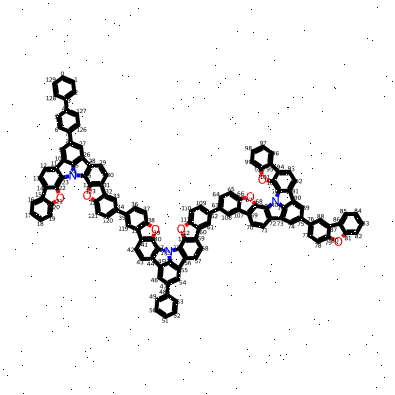 c1ccc(-c2ccc(-c3cc4c5ccc6c7ccccc7oc6c5n5c4c(c3)c3ccc4c6cc(-c7ccc8oc9c(ccc%10c%11cc(-c%12ccccc%12)cc%12c%13ccc%14c%15cc(-c%16ccc%17oc%18c(ccc%19c%20cc(-c%21ccc%22oc%23ccccc%23c%22c%21)cc%21c%22ccc%23c%24ccccc%24oc%23c%22n(c%21%20)c%19%18)c%17c%16)ccc%15oc%14c%13n(c%11%12)c%109)c8c7)ccc6oc4c35)cc2)cc1